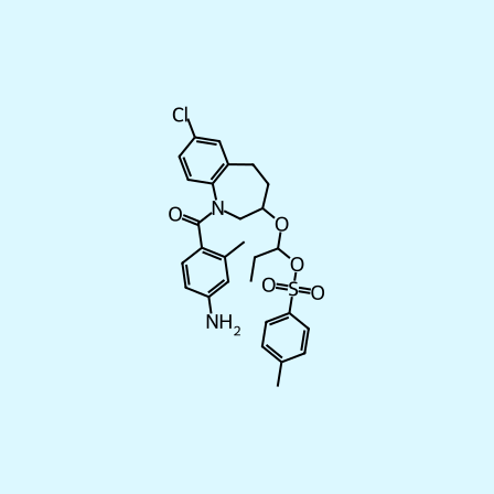 CCC(OC1CCc2cc(Cl)ccc2N(C(=O)c2ccc(N)cc2C)C1)OS(=O)(=O)c1ccc(C)cc1